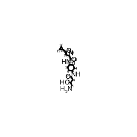 NC[C@@H](O)CC(=O)N[C@H]1CC[C@H](NC(=O)c2cc(C3CC3)on2)CC1